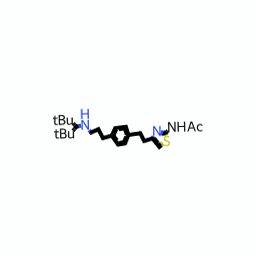 CC(=O)Nc1nc(CCc2ccc(CCCNC(C(C)(C)C)C(C)(C)C)cc2)cs1